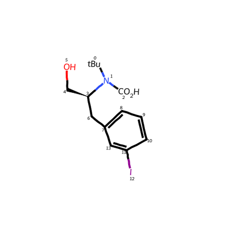 CC(C)(C)N(C(=O)O)[C@H](CO)Cc1cccc(I)c1